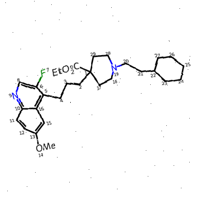 CCOC(=O)C1(CCCc2c(F)cnc3ccc(OC)cc23)CCN(CCC2CCCCC2)CC1